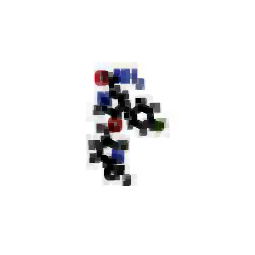 NC(=O)c1cc(-c2ccc(F)cc2)c(OCc2ccc(C(F)(F)F)nc2)cn1